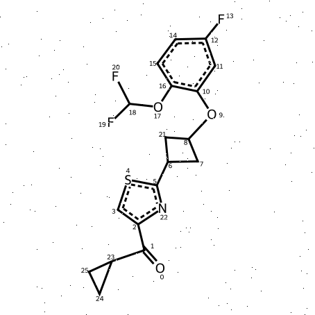 O=C(c1csc(C2CC(Oc3cc(F)ccc3OC(F)F)C2)n1)C1CC1